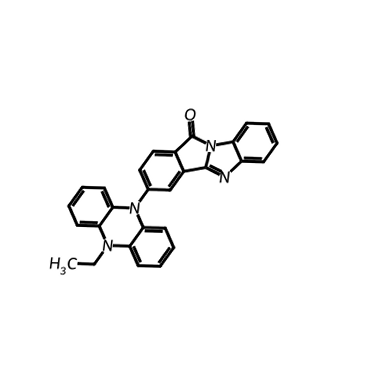 CCN1c2ccccc2N(c2ccc3c(c2)-c2nc4ccccc4n2C3=O)c2ccccc21